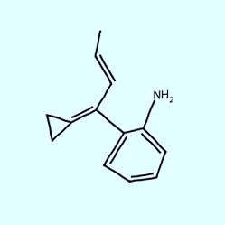 C/C=C/C(=C1CC1)c1ccccc1N